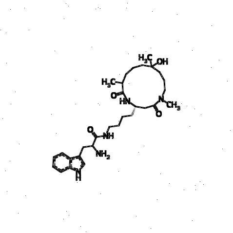 CC1CCCC(C)(O)CCCN(C)C(=O)C[C@H](CCCCNC(=O)C(N)Cc2c[nH]c3ccccc23)NC1=O